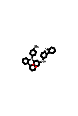 CC(C)(C)c1ccc(N(c2cccc(Nc3ccc4sc5ccccc5c4c3)c2)c2ccccc2-c2ccccc2)cc1